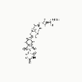 CC(C)(C)OC(=O)N1CC(CN2CCC3(CC2)CCN(c2ccc4c(c2)C(=O)N(C2CCC(=O)NC2=O)C4=O)CC3)C1